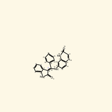 O=C1Nc2ccccc2/C1=C(/Nc1ccc2ncc(=O)[nH]c2c1)c1ccccc1